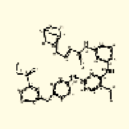 CNC(=O)c1cc(Oc2ccc(Nc3ncc(SC)c(Nc4cccc(NC(=O)/C=C/CN5CC6CCC5CC6)c4)n3)cc2)ccn1